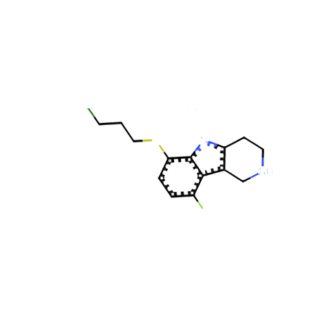 Cl.Fc1ccc(SCCCCl)c2[nH]c3c(c12)CNCC3